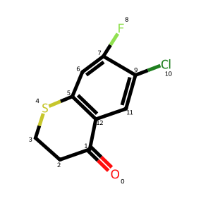 O=C1CCSc2cc(F)c(Cl)cc21